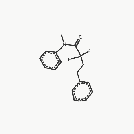 CN(C(=O)C(F)(F)CCc1ccccc1)c1ccccc1